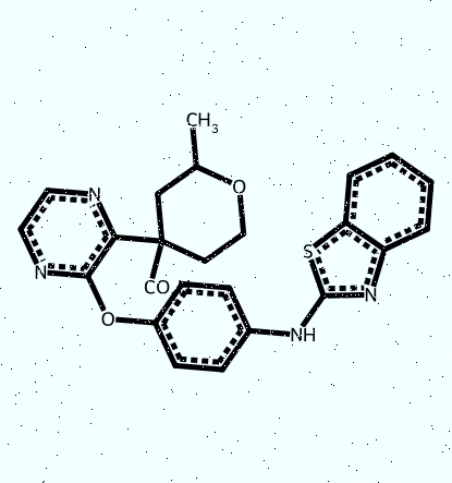 CC1CC(C(=O)O)(c2nccnc2Oc2ccc(Nc3nc4ccccc4s3)cc2)CCO1